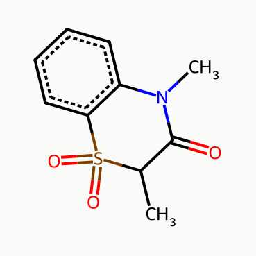 CC1C(=O)N(C)c2ccccc2S1(=O)=O